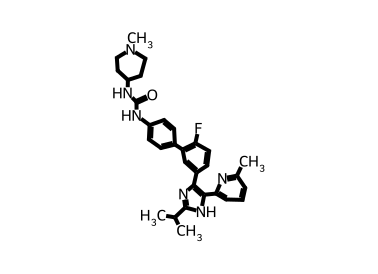 Cc1cccc(-c2[nH]c(C(C)C)nc2-c2ccc(F)c(-c3ccc(NC(=O)NC4CCN(C)CC4)cc3)c2)n1